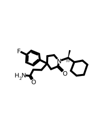 C[C@@H](C1CCCCC1)N1CCC(CCC(N)=O)(c2ccc(F)cc2)CC1=O